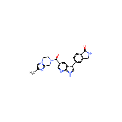 Cc1cn2c(n1)CN(C(=O)c1cnc3[nH]cc(-c4ccc5c(c4)CNC5=O)c3c1)CC2